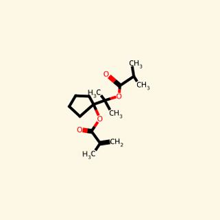 C=C(C)C(=O)OC1(C(C)(C)OC(=O)C(C)C)CCCC1